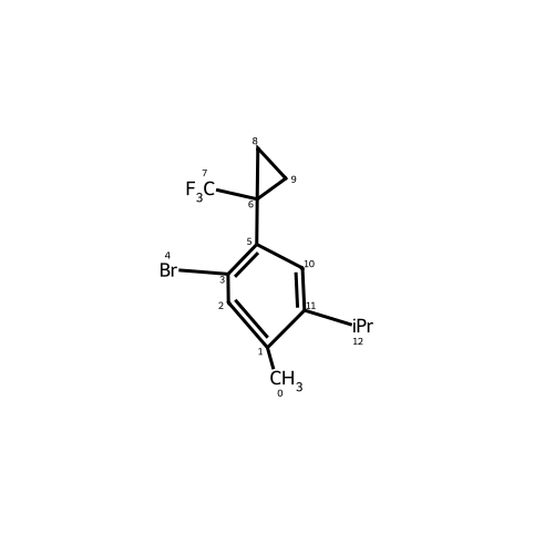 Cc1cc(Br)c(C2(C(F)(F)F)CC2)cc1C(C)C